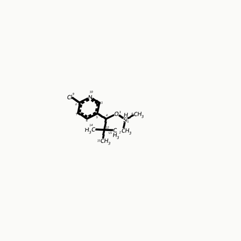 C[SiH](C)OC(c1ccc(Cl)nc1)C(C)(C)C